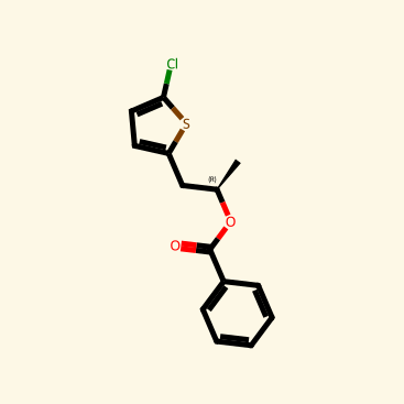 C[C@H](Cc1ccc(Cl)s1)OC(=O)c1ccccc1